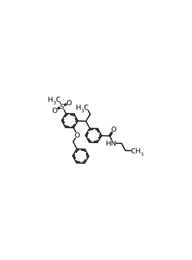 CCCNC(=O)c1cccc(C(CC)c2cc(S(C)(=O)=O)ccc2OCc2ccccc2)c1